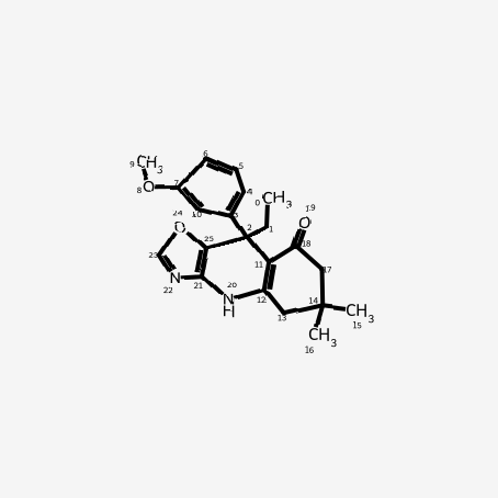 CCC1(c2cccc(OC)c2)C2=C(CC(C)(C)CC2=O)Nc2ncoc21